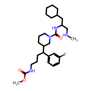 CNCC(CC1CCCCC1)NC(=O)N1CCCC(C(CCCNC(=O)OC)c2cccc(F)c2)C1